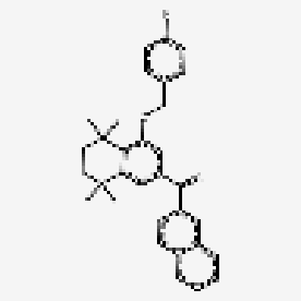 CC1(C)CCC(C)(C)c2c(OCc3ccc(F)cc3)cc(C(=O)c3ccc4ccccc4c3)cc21